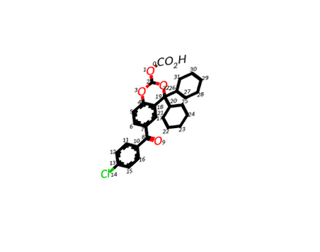 O=C(O)OC1Oc2ccc(C(=O)c3ccc(Cl)cc3)cc2C(C2CCCCC2)(C2CCCCC2)O1